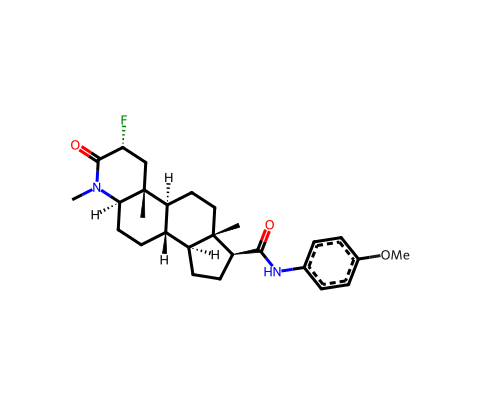 COc1ccc(NC(=O)[C@H]2CC[C@H]3[C@@H]4CC[C@H]5N(C)C(=O)[C@H](F)C[C@]5(C)[C@H]4CC[C@]23C)cc1